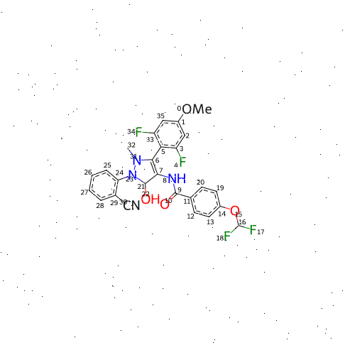 COc1cc(F)c(C2=C(NC(=O)c3ccc(OC(F)F)cc3)C(O)N(c3ccccc3C#N)N2C)c(F)c1